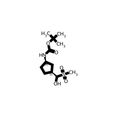 CC(C)(C)OC(=O)N[C@@H]1CC[C@H](C(O)S(C)(=O)=O)C1